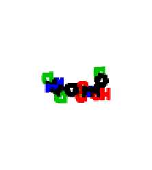 O=S(=O)(NCC(O)c1cccc(Cl)c1)c1ccc(-c2nc(Cl)ncc2Cl)cc1